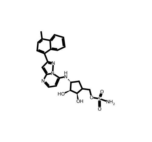 Cc1ccc(-c2cc3nccc(N[C@@H]4CC(COS(N)(=O)=O)[C@@H](O)[C@H]4O)n3n2)c2ccccc12